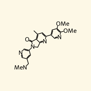 CNCc1cncc(N2Cc3nc(-c4cnc(OC)c(OC)c4)cc(C)c3C2=O)c1